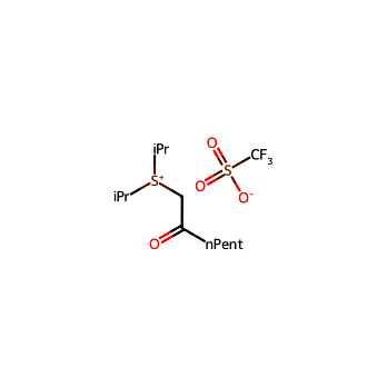 CCCCCC(=O)C[S+](C(C)C)C(C)C.O=S(=O)([O-])C(F)(F)F